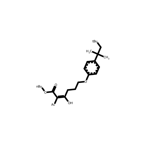 CCCCOC(=O)/C(C(C)=O)=C(/O)CCCOc1ccc(C(C)(C)CC(C)(C)C)cc1